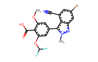 COc1cc(-c2c3c(C#N)cc(Br)cc3nn2C)cc(OC(F)F)c1C(=O)O